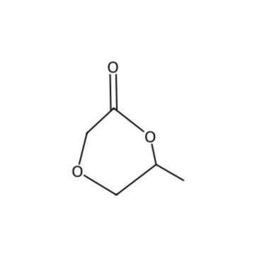 CC1COCC(=O)O1